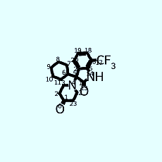 O=C1CCN(C2(C3CCCCC3)C(=O)Nc3c(C(F)(F)F)cccc32)CC1